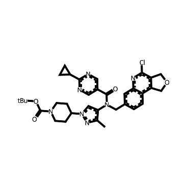 Cc1nn(C2CCN(C(=O)OC(C)(C)C)CC2)cc1N(Cc1ccc2c3c(c(Cl)nc2c1)COC3)C(=O)c1cnc(C2CC2)nc1